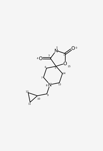 O=C1[N]C(=O)C2(CCN(CC3CC3)CC2)O1